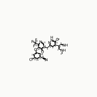 CN/C=C(\C=N)c1cc(Cn2cnc(C(F)(F)F)c(Oc3cc(Cl)cc(C#N)c3)c2=O)n[nH]c1=O